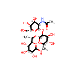 CC(=O)N[C@H]1[C@H](O[C@@H]2[C@@H](O[C@@H](C)[C@H]3OC(O)[C@H](O)[C@@H](O)[C@@H]3O)O[C@H](C)[C@@H](O)[C@@H]2O)O[C@H](CO)[C@@H](O)[C@@H]1O